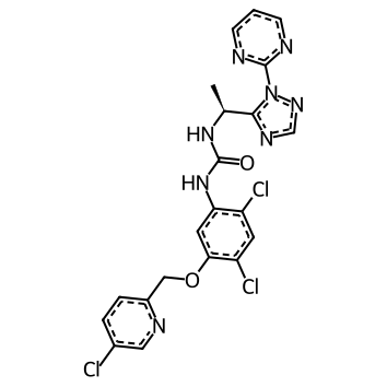 C[C@H](NC(=O)Nc1cc(OCc2ccc(Cl)cn2)c(Cl)cc1Cl)c1ncnn1-c1ncccn1